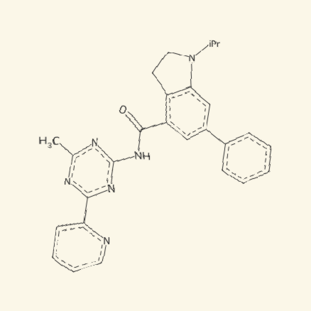 Cc1nc(NC(=O)c2cc(-c3ccccc3)cc3c2CCN3C(C)C)nc(-c2ccccn2)n1